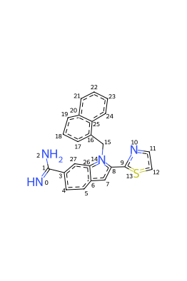 N=C(N)c1ccc2cc(-c3nccs3)n(Cc3cccc4ccccc34)c2c1